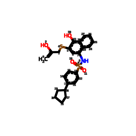 C=C(O)CSc1cc(NS(=O)(=O)c2ccc(C3CCCC3)cc2)c2ccccc2c1O